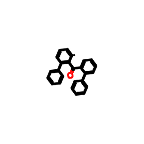 O=C(c1[c]cccc1-c1ccccc1)c1ccccc1-c1ccccc1